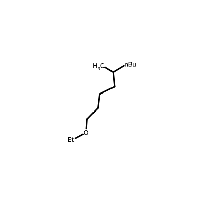 CCCCC(C)CCCCOCC